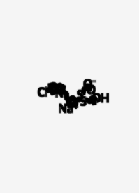 CC(C)(O)CCS[C@@H](SCCC(=O)[O-])c1cccc(C=Cc2ccc3ccc(Cl)cc3n2)c1.[Na+]